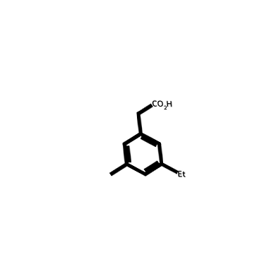 CCc1cc(C)cc(CC(=O)O)c1